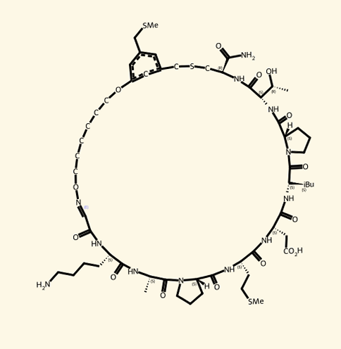 CC[C@H](C)[C@@H]1NC(=O)[C@H](CC(=O)O)NC(=O)[C@H](CCSC)NC(=O)[C@@H]2CCCN2C(=O)[C@H](C)NC(=O)[C@H](CCCCN)NC(=O)/C=N/OCCCCCCOc2cc(CSC)cc(c2)CSC[C@@H](C(N)=O)NC(=O)[C@H]([C@@H](C)O)NC(=O)[C@@H]2CCCN2C1=O